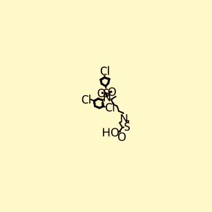 CC(CCCCN1CSC(C(=O)O)C1)N(c1cc(Cl)ccc1Cl)S(=O)(=O)c1ccc(Cl)cc1